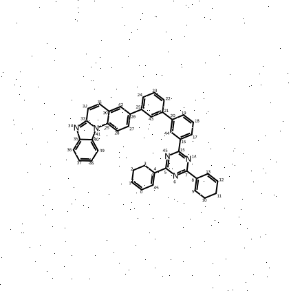 C1=CCCC(c2nc(C3=CCCC=C3)nc(-c3cccc(-c4cccc(-c5ccc6c(ccc7nc8ccccc8n76)c5)c4)c3)n2)=C1